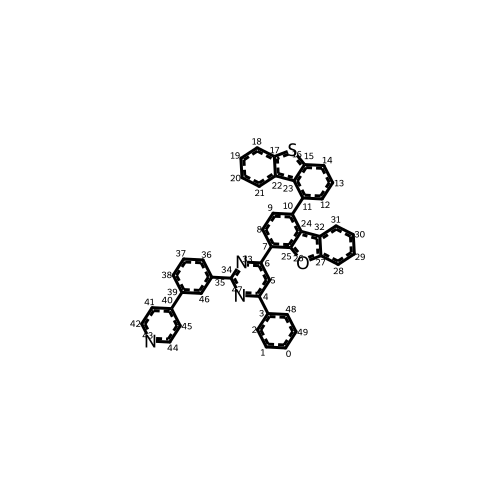 c1ccc(-c2cc(-c3ccc(-c4cccc5sc6ccccc6c45)c4c3oc3ccccc34)nc(-c3cccc(-c4ccncc4)c3)n2)cc1